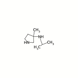 CC(C)NC1(C)CCNC1